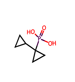 O=P(O)(O)C1(C2CC2)CC1